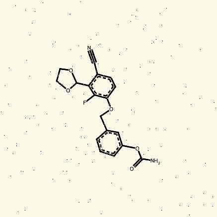 N#Cc1ccc(OCc2cccc(OC(N)=O)c2)c(F)c1C1OCCO1